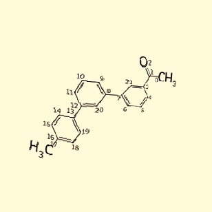 CC(=O)c1cccc(-c2cccc(-c3ccc(C)cc3)c2)c1